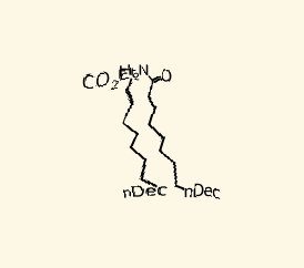 CCCCCCCCCCCCCCCCCC(=O)OCC.CCCCCCCCCCCCCCCCCC(N)=O